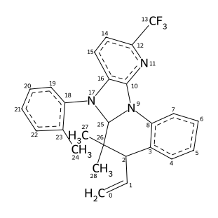 C=CC1c2ccccc2N2c3nc(C(F)(F)F)ccc3N(c3ccccc3C)C2C1(C)C